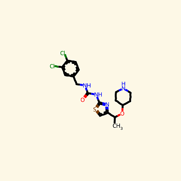 CC(OC1CCNCC1)c1csc(NC(=O)NCc2ccc(Cl)c(Cl)c2)n1